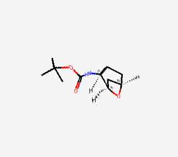 CC(C)(C)OC(=O)N[C@H]1CC[C@@H]2C[C@H]1O2